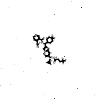 N#Cc1ccncc1C(=O)N[C@H](c1cn2ncc([C@H](NC(=O)CCC(F)(F)F)C3CC3)cc2n1)C1CCC(F)(F)CC1